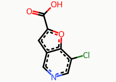 O=C(O)c1cc2cncc(Cl)c2o1